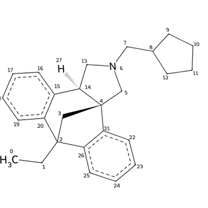 CCC12C[C@@]3(CN(CC4CCCC4)C[C@@H]3c3ccccc31)c1ccccc12